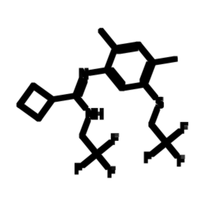 Cc1cc(C)c(SCC(F)(F)F)cc1/N=C(\NCC(F)(F)F)C1CCC1